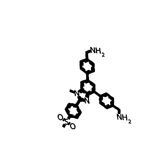 Cn1c(-c2ccc(S(C)(=O)=O)cc2)nc2c(-c3ccc(CN)cc3)cc(-c3ccc(CN)cc3)cc21